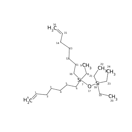 C=CCCCCC[Si](CC)(CCCCCC=C)O[Si](CC)(CC)CC